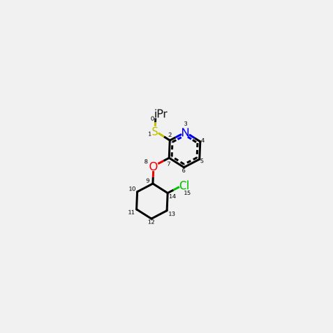 CC(C)Sc1ncccc1OC1CCCCC1Cl